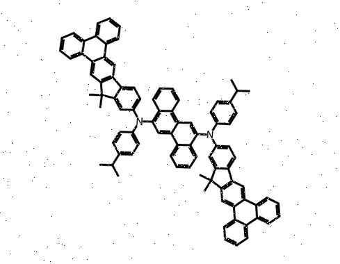 CC(C)c1ccc(N(c2ccc3c(c2)C(C)(C)c2cc4c5ccccc5c5ccccc5c4cc2-3)c2cc3c4ccccc4c(N(c4ccc(C(C)C)cc4)c4ccc5c(c4)C(C)(C)c4cc6c7ccccc7c7ccccc7c6cc4-5)cc3c3ccccc23)cc1